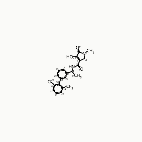 CC(NC(=O)C1=C(O)C(=O)N(C)C1)c1cccc(-c2c(Cl)cccc2C(F)(F)F)c1